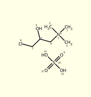 C[N+](C)(C)CC(O)CCl.O=S(=O)(O)O